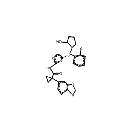 O=C(Nc1ncc([C@@H](c2ccccc2Cl)N2CCCC2O)s1)C1(c2ccc3c(c2)OCO3)CC1